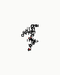 CN1CCN(c2cccc3[nH]c(-c4n[nH]c5c(C6CN(c7cccc8[nH]c(-c9n[nH]c%10ccc(-c%11cncc(CN%12CCCC%12)c%11)nc9%10)nc78)CCN6C)cc(-c6cncc(NC(=O)c7ccccc7)c6)nc45)nc23)CC1